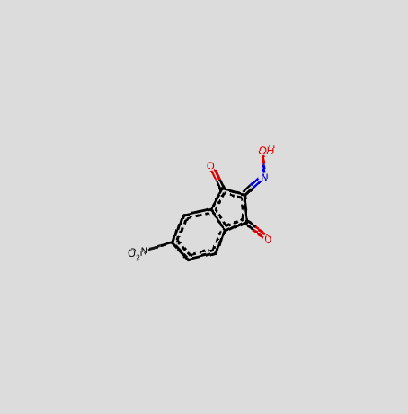 O=c1c(=NO)c(=O)c2cc([N+](=O)[O-])ccc12